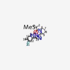 CSC(C)C(=O)N1CCCCC1c1ncc(-c2ccc(C)c(F)c2)[nH]1